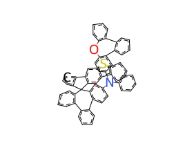 c1ccc(N(c2ccc3c(c2)-c2ccccc2-c2ccccc2O3)c2ccc3c(c2)C2(c4ccccc4-c4ccccc4-3)c3ccccc3-c3cc4sc5ccccc5c4cc32)cc1